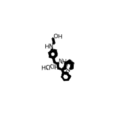 Cl.Cl.NC(Cc1ccc(NCCO)cc1)Cc1c2c(n3ccccc13)CCCC2